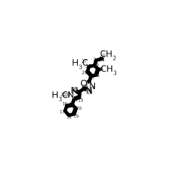 C=CCC1C(C)=CC(c2nnc(-c3cc(C4=CCCC=C4)n(C)n3)o2)=CC1C